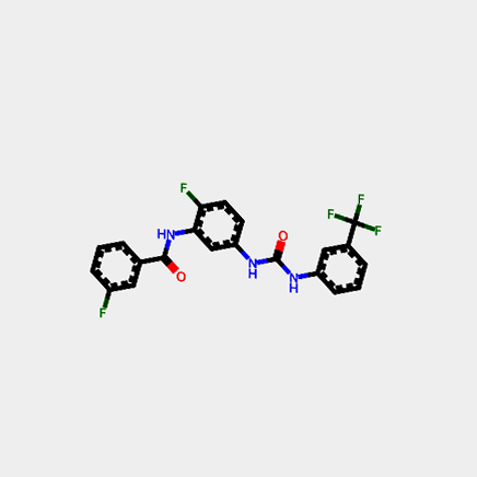 O=C(Nc1cccc(C(F)(F)F)c1)Nc1ccc(F)c(NC(=O)c2cccc(F)c2)c1